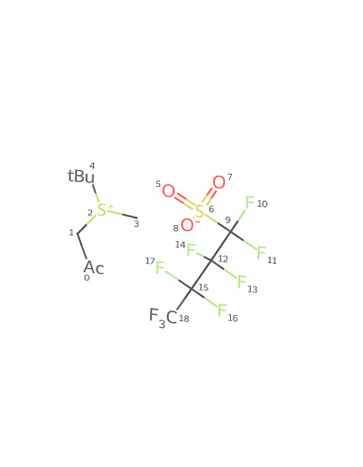 CC(=O)C[S+](C)C(C)(C)C.O=S(=O)([O-])C(F)(F)C(F)(F)C(F)(F)C(F)(F)F